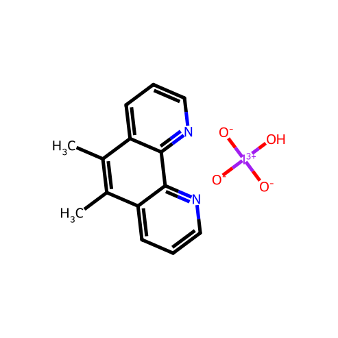 Cc1c(C)c2cccnc2c2ncccc12.[O-][I+3]([O-])([O-])O